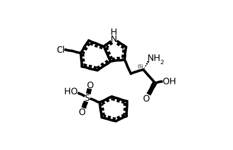 N[C@@H](Cc1c[nH]c2cc(Cl)ccc12)C(=O)O.O=S(=O)(O)c1ccccc1